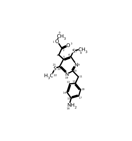 COC(=O)Cc1c(SC)nc(Cc2ccc(N)cc2)nc1SC